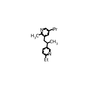 CCc1ccc(C(C)Cc2cc(C(C)C)cnc2C)cn1